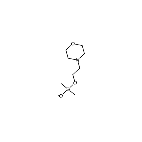 C[Si](C)([O])OCCN1CCOCC1